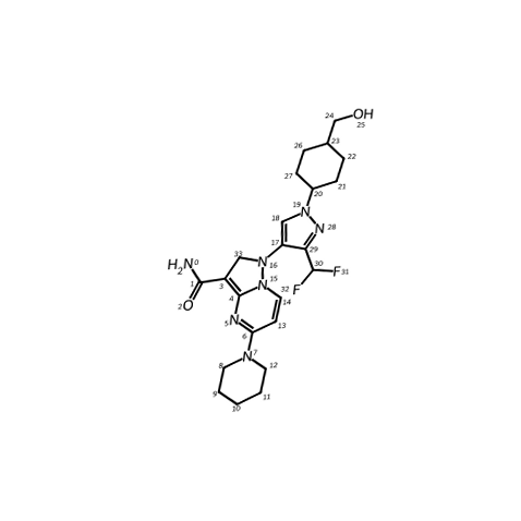 NC(=O)C1=C2N=C(N3CCCCC3)C=CN2N(c2cn(C3CCC(CO)CC3)nc2C(F)F)C1